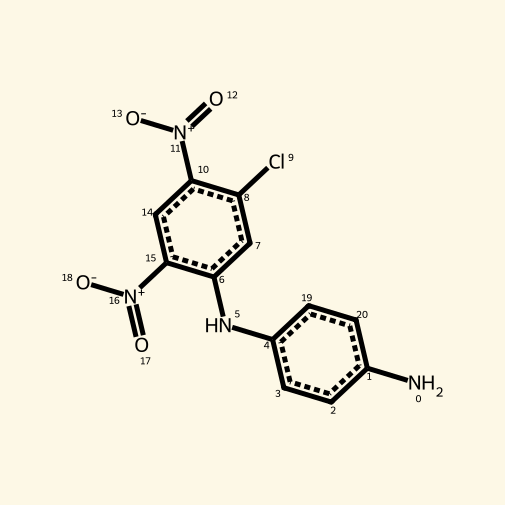 Nc1ccc(Nc2cc(Cl)c([N+](=O)[O-])cc2[N+](=O)[O-])cc1